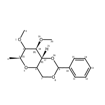 COC1[C@H](C)OC2COC(c3ccccc3)O[C@H]2[C@@H]1OC